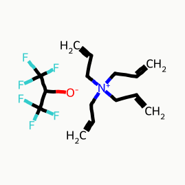 C=CC[N+](CC=C)(CC=C)CC=C.[O-]C(C(F)(F)F)C(F)(F)F